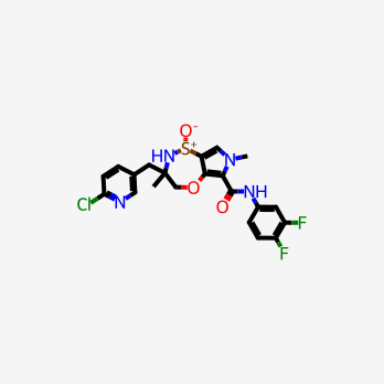 Cn1cc2c(c1C(=O)Nc1ccc(F)c(F)c1)OCC(C)(Cc1ccc(Cl)nc1)N[S+]2[O-]